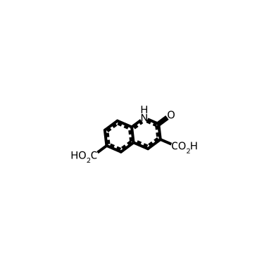 O=C(O)c1ccc2[nH]c(=O)c(C(=O)O)cc2c1